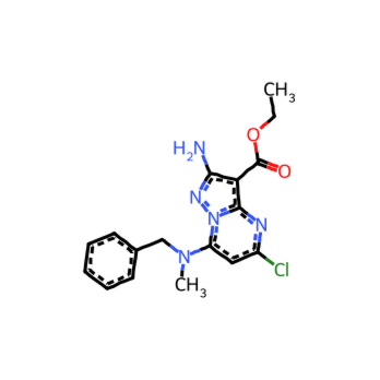 CCOC(=O)c1c(N)nn2c(N(C)Cc3ccccc3)cc(Cl)nc12